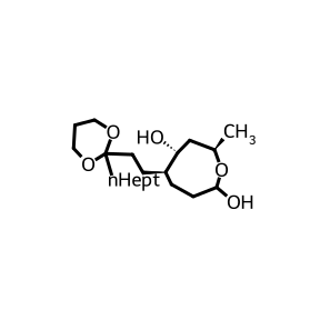 CCCCCCCC1(CC[C@@H]2CCC(O)O[C@H](C)C[C@H]2O)OCCCO1